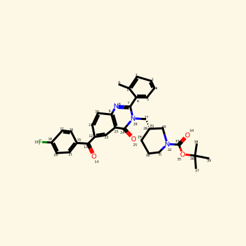 Cc1ccccc1-c1nc2ccc(C(=O)c3ccc(F)cc3)cc2c(=O)n1C[C@H]1CCCN(C(=O)OC(C)(C)C)C1